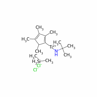 CC1=C(C)C(C)[C]([Ti+2][NH]C(C)(C)C)=C1C.C[SiH2]C.[Cl-].[Cl-]